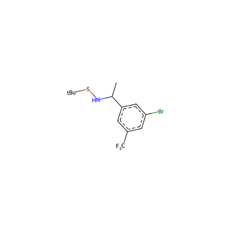 CC(NSC(C)(C)C)c1cc(Br)cc(C(F)(F)F)c1